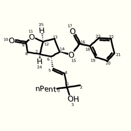 CCCCCC(C)(O)/C=C/[C@@H]1[C@H]2CC(=O)O[C@H]2C[C@H]1OC(=O)c1ccccc1